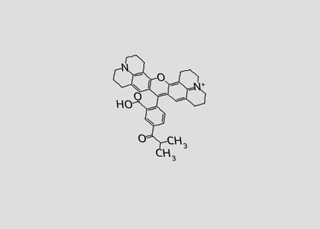 CC(C)C(=O)c1ccc(C2=c3cc4c5c(c3Oc3c2cc2c6c3CCCN6CCC2)CCC[N+]=5CCC4)c(C(=O)O)c1